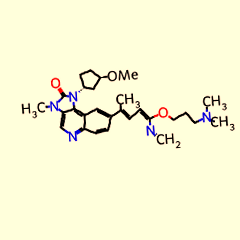 C=N/C(=C\C=C(/C)c1ccc2ncc3c(c2c1)n([C@@H]1CC[C@@H](OC)C1)c(=O)n3C)OCCCN(C)C